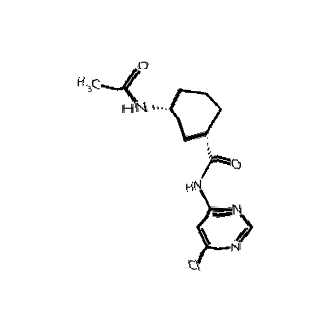 CC(=O)N[C@@H]1CCC[C@H](C(=O)Nc2cc(Cl)ncn2)C1